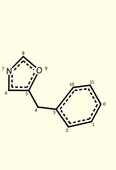 c1ccc(Cc2cnco2)cc1